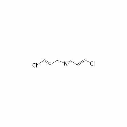 ClC=CC[N]CC=CCl